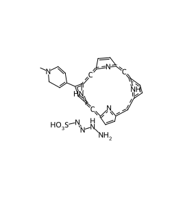 CN1C=CC(c2cc3cc4nc(cc5ccc(cc6nc(cc2[nH]3)C=C6)[nH]5)C=C4)=CC1.NNN=NS(=O)(=O)O